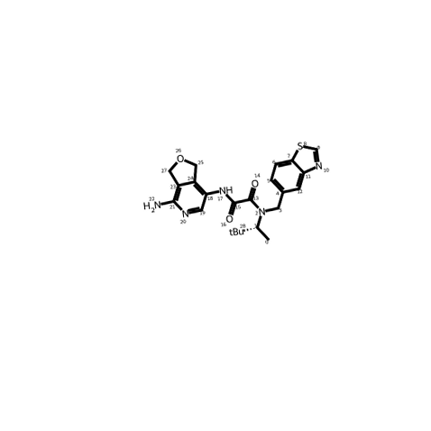 C[C@@H](N(Cc1ccc2scnc2c1)C(=O)C(=O)Nc1cnc(N)c2c1COC2)C(C)(C)C